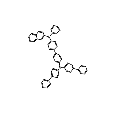 c1ccc(-c2ccc(N(c3ccc(-c4ccccc4)cc3)c3ccc(-c4ccc(N(c5ccccc5)c5ccc6ccccc6c5)cc4)cc3)cc2)cc1